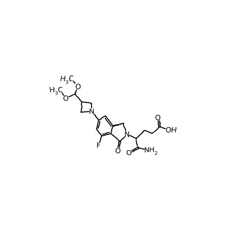 COC(OC)C1CN(c2cc(F)c3c(c2)CN(C(CCC(=O)O)C(N)=O)C3=O)C1